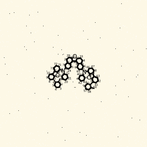 Cc1ccccc1-c1cccc2c1oc1c(N(c3ccccc3)c3ccc4c(ccc5oc6ccc7cc(N(c8ccccc8)c8cccc9c8oc8c(-c%10ccccc%10C)cccc89)ccc7c6c54)c3)cccc12